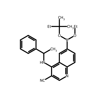 CCOB(OC(C)(C)CC)c1ccc2ncc(C#N)c(NC(C)c3ccccc3)c2c1